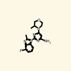 Cc1nc2c(F)cccc2n1-c1nc(N)cc(N2CCOCC2C)n1